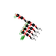 CCCCOc1ccc(C(=O)Oc2ccc([S])c(Cl)c2)cc1.CCCCOc1ccc(C(=O)Oc2ccc([S])c(Cl)c2)cc1.CCCCOc1ccc(C(=O)Oc2ccc([S])c(Cl)c2)cc1.CCCCOc1ccc(C(=O)Oc2ccc([S])c(Cl)c2)cc1.CCCCOc1ccc(C(=O)Oc2ccc([S])c(Cl)c2)cc1.F.F.F.F.F